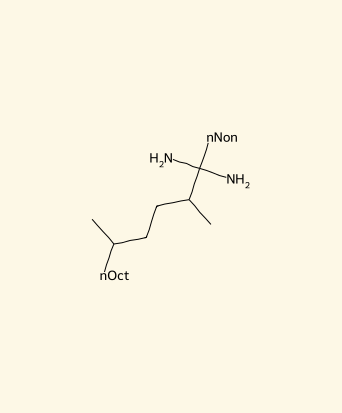 CCCCCCCCCC(N)(N)C(C)CCC(C)CCCCCCCC